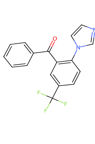 O=C(c1ccccc1)c1cc(C(F)(F)F)ccc1-n1ccnc1